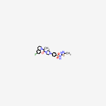 Cc1nnc(NS(=O)(=O)c2ccc(N3CCN(C(=O)[C@@H](C)N4CCCc5cc(F)ccc54)CC3)cc2)s1